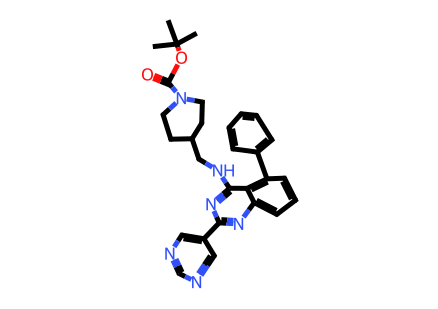 CC(C)(C)OC(=O)N1CCC(CNc2nc(-c3cncnc3)nc3cccc(-c4ccccc4)c23)CC1